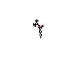 CC(C)C1(C(=O)NCc2cc(C(F)(F)F)cc(C(F)(F)F)c2)CC(N2CCC(c3ccc(F)cc3)CC2)CN1C(=O)OC(C)(C)C